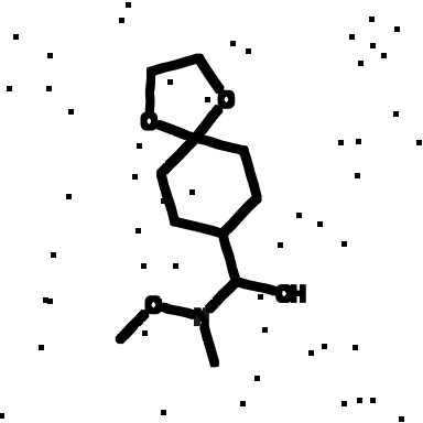 CON(C)C(O)C1CCC2(CC1)OCCO2